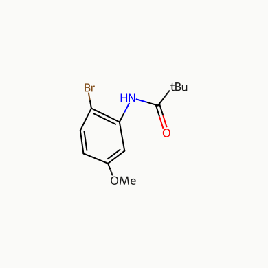 COc1ccc(Br)c(NC(=O)C(C)(C)C)c1